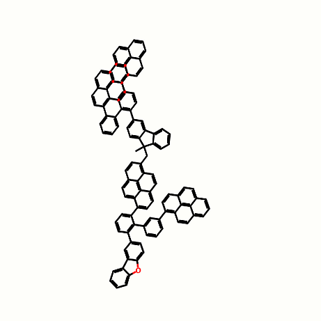 CC1(Cc2ccc3ccc4c(-c5cccc(-c6ccc7oc8ccccc8c7c6)c5-c5cccc(-c6ccc7ccc8cccc9ccc6c7c89)c5)ccc5ccc2c3c54)c2ccccc2-c2cc(-c3ccc(-c4ccc5ccc6cccc7ccc4c5c67)cc3-c3ccccc3-c3ccc4ccc5cccc6ccc3c4c56)ccc21